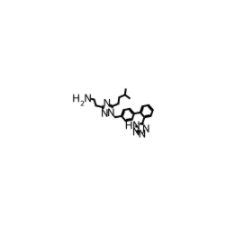 CC(C)CCc1nc(CCN)nn1Cc1ccc(-c2ccccc2-c2nnn[nH]2)cc1